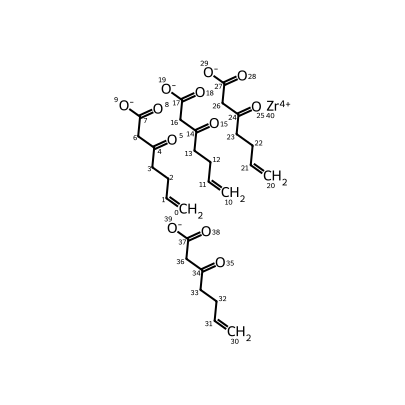 C=CCCC(=O)CC(=O)[O-].C=CCCC(=O)CC(=O)[O-].C=CCCC(=O)CC(=O)[O-].C=CCCC(=O)CC(=O)[O-].[Zr+4]